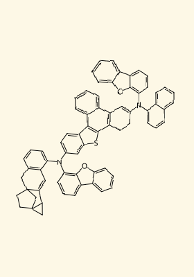 C1=C(N(c2cccc3ccccc23)c2cccc3c2oc2ccccc23)CCc2c1c1ccccc1c1c2sc2cc(N(c3cccc4c3C=C3C5CC56CCC3(C4)C6)c3cccc4c3oc3ccccc34)ccc21